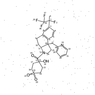 CC(F)(c1ccc2c(c1)CCC1N(C(=O)C3(O)CCS(=O)(=O)CC3)CCC21Cc1ccccn1)C(F)(F)F